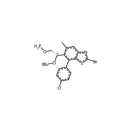 Cc1cc2nc(Br)sc2c(-c2ccc(Cl)cc2)c1[C@@H](COP)OC(C)(C)C